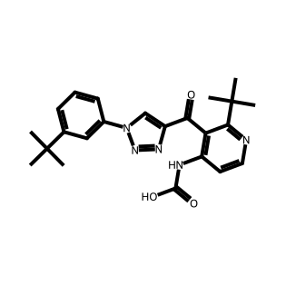 CC(C)(C)c1cccc(-n2cc(C(=O)c3c(NC(=O)O)ccnc3C(C)(C)C)nn2)c1